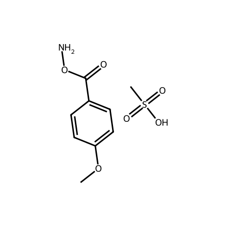 COc1ccc(C(=O)ON)cc1.CS(=O)(=O)O